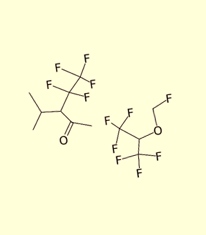 CC(=O)C(C(C)C)C(F)(F)C(F)(F)F.FCOC(C(F)(F)F)C(F)(F)F